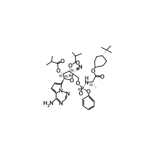 CC(C)C(=O)O[C@H]1[C@H](c2ccc3c(N)ncnn23)O[C@](C#N)(CO[P@@](=O)(N[C@@H](C)C(=O)O[C@H]2CC[C@H](C(C)(C)C)CC2)Oc2ccccc2)[C@H]1OC(=O)C(C)C